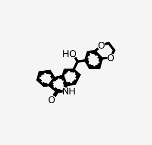 O=c1[nH]c2ccc(C(O)c3ccc4c(c3)OCCO4)cc2c2ccccc12